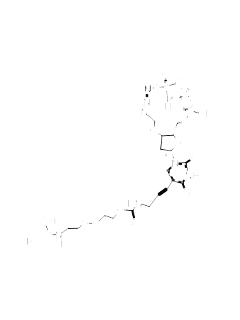 CB(O)NCCSSCCOC(=O)NCC#Cc1cn([C@H]2CC(OCN=[N+]=[N-])[C@@H](COP(=O)(O)OP(=O)(O)OP(=O)(O)O)O2)c(=O)[nH]c1=O